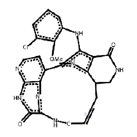 COc1c(Cl)cccc1Nc1c2[nH]c3c1C(=O)NCC3C/C=C\CNc1nc3c-2ccnc3[nH]c1=O